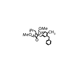 COCO[C@@]1(Cc2cc(Cc3ccccc3)c(C)cn2)C(=O)N(COC)[C@H]1CC(C)C